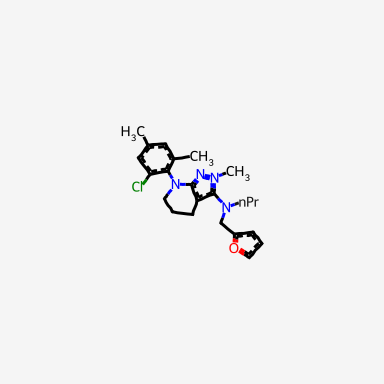 CCCN(Cc1ccco1)c1c2c(nn1C)N(c1c(C)cc(C)cc1Cl)CCC2